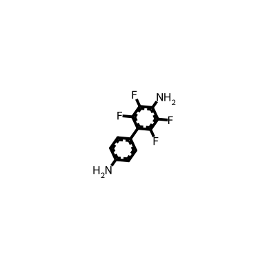 Nc1ccc(-c2c(F)c(F)c(N)c(F)c2F)cc1